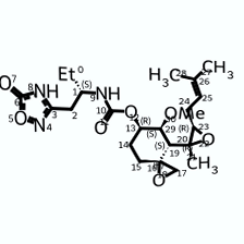 CC[C@@H](Cc1noc(=O)[nH]1)NC(=O)O[C@@H]1CC[C@]2(CO2)[C@@H]([C@@]2(C)O[C@@H]2CC=C(C)C)[C@@H]1OC